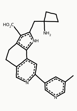 Cc1cncc(-c2cc3c(cn2)CCc2c-3[nH]c(CC3(N)CCC3)c2C(=O)O)c1